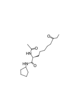 CCC(=O)CCCCC[C@H](NC(C)=O)C(=O)NC1CCCC1